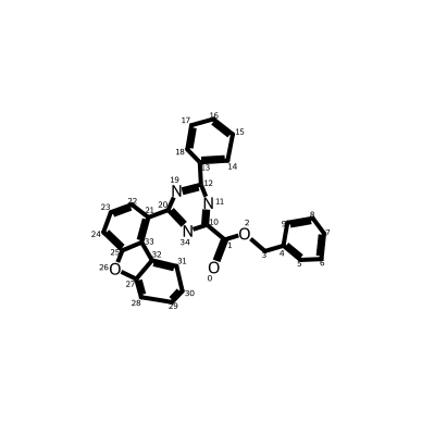 O=C(OCc1ccccc1)c1nc(-c2ccccc2)nc(-c2cccc3oc4ccccc4c23)n1